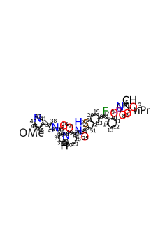 CCCOC(=O)[C@H](C)N=[P+]([O-])Oc1ccccc1[C@H](F)c1ccc2sc(C(=O)N[C@H]3CCC[C@H]4CC[C@@H](C(=O)N5CC(c6cnccc6OC)C5)N4C3=O)cc2c1